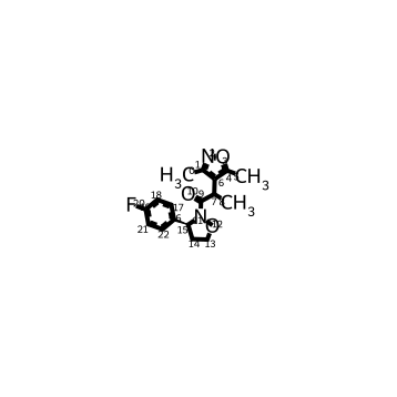 Cc1noc(C)c1C(C)C(=O)N1OCC[C@H]1c1ccc(F)cc1